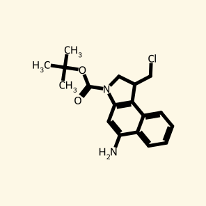 CC(C)(C)OC(=O)N1CC(CCl)c2c1cc(N)c1ccccc21